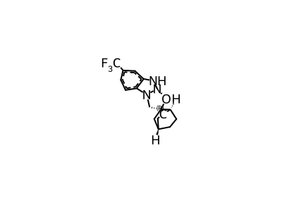 FC(F)(F)c1ccc2c(c1)NN1O[C@]3(CN21)C[C@H]1CC[C@H]3CC1